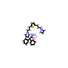 NC(=O)C(c1ccccc1)(c1ccccc1)[C@@H]1CCN(CCCc2ccc(CCCN3CCC3)s2)C1